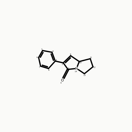 O=C1C(c2ccccc2)=[C]C2CCCN12